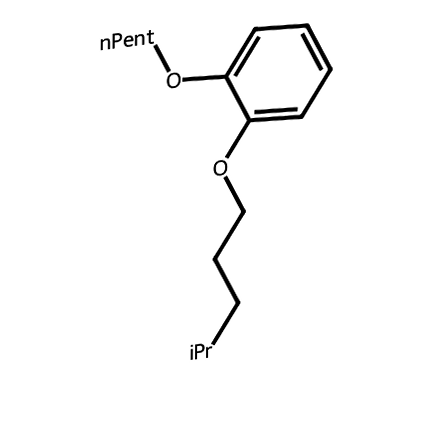 CCCCCOc1ccccc1OCCCC(C)C